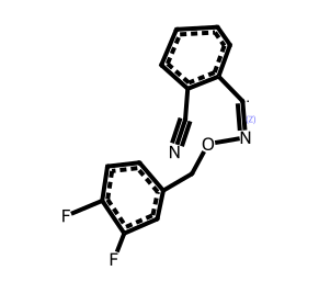 N#Cc1ccccc1/[C]=N\OCc1ccc(F)c(F)c1